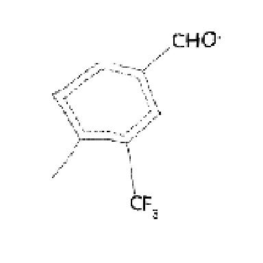 Cc1ccc([C]=O)cc1C(F)(F)F